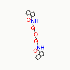 O=C(NCCOCCOCCOCCNC(=O)c1cccc2ccccc12)c1cccc2ccccc12